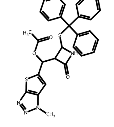 CC(=O)OC(c1cc2c(nnn2C)s1)C1C(=O)NC1SC(c1ccccc1)(c1ccccc1)c1ccccc1